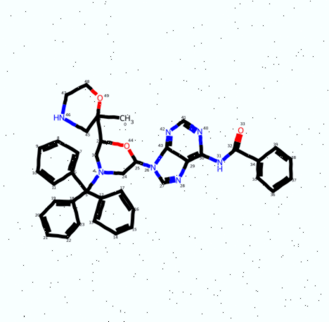 CC1(C2CN(C(c3ccccc3)(c3ccccc3)c3ccccc3)CC(n3cnc4c(NC(=O)c5ccccc5)ncnc43)O2)CNCCO1